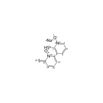 [Na+].[O-][n+]1ccccc1S.[O-]n1ccccc1=S